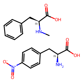 CN[C@@H](Cc1ccccc1)C(=O)O.N[C@@H](Cc1ccc([N+](=O)[O-])cc1)C(=O)O